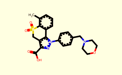 Cc1cccc2c1S(=O)(=O)Cc1c(C(=O)O)nn(-c3ccc(CN4CCOCC4)cc3)c1-2